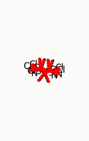 [C-]#[N+]/C(C#N)=C1/C(=C/c2cc3c(s2)-c2cc4c(cc2C3(CCCCCCCC)CCCCCCCC)c2cc3c(cc2n4C(CCCCCCCC)CCCCCCCC)-c2sc(/C=C4\C(=O)c5cc(Cl)c(Cl)cc5C4=C(C#N)C#N)cc2C3(CCCCCCCC)CCCCCCCC)C(=O)c2cc(Cl)c(Cl)cc21